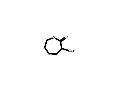 O=C1OCCCCC1S(=O)(=O)O